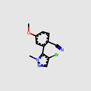 COc1ccc(C#N)c(-c2c(Br)cnn2C)c1